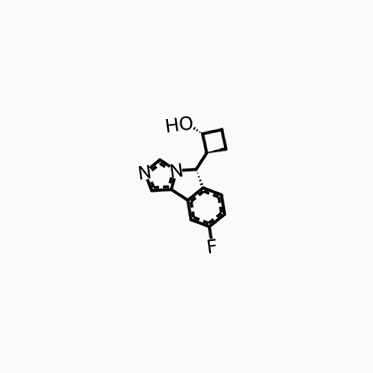 O[C@@H]1CC[C@H]1[C@@H]1c2ccc(F)cc2-c2cncn21